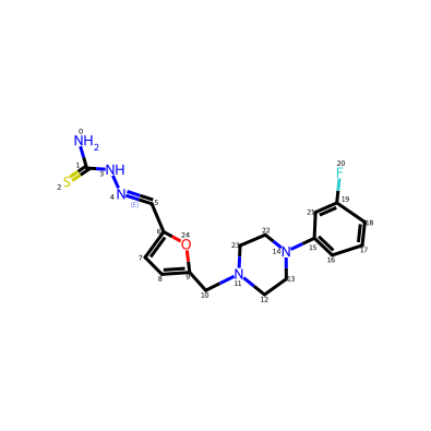 NC(=S)N/N=C/c1ccc(CN2CCN(c3cccc(F)c3)CC2)o1